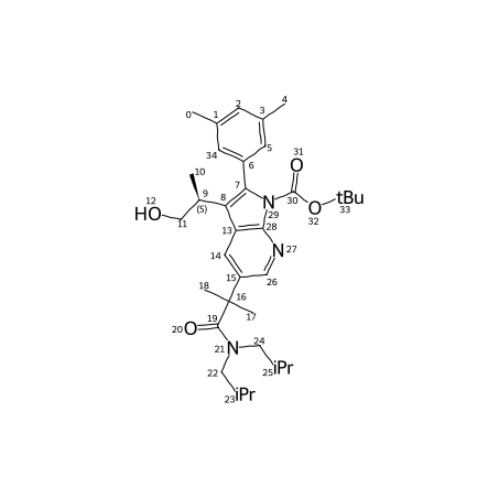 Cc1cc(C)cc(-c2c([C@H](C)CO)c3cc(C(C)(C)C(=O)N(CC(C)C)CC(C)C)cnc3n2C(=O)OC(C)(C)C)c1